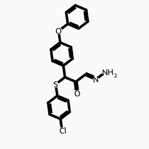 NN=CC(=O)C(Sc1ccc(Cl)cc1)c1ccc(Oc2ccccc2)cc1